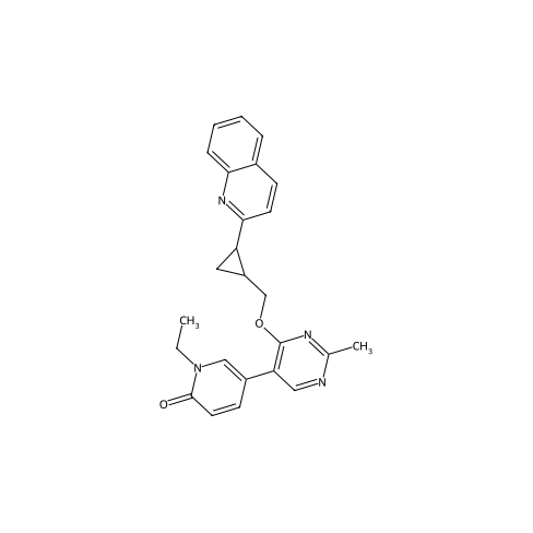 CCn1cc(-c2cnc(C)nc2OCC2CC2c2ccc3ccccc3n2)ccc1=O